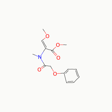 COC=C(C(=O)OC)N(C)C(=O)COc1ccccc1